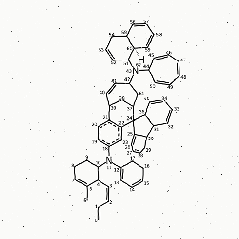 C=C/C=C\C1C(C)=CCCC1N(C1=CC=CCC1)c1ccc2c(c1)C1(C3=CC=CCC3C3C=CC=CC31)C1CC2C=CC(N(C2C=CC=CC=C2)C2C=CCC3C=CC=C[C@H]32)C1